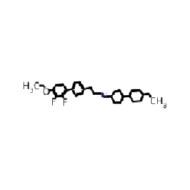 CCOc1ccc(-c2ccc(CC/C=C/C3CCC(C4CCC(CC)CC4)CC3)cc2)c(F)c1F